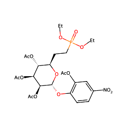 CCOP(=O)(CC[C@H]1O[C@H](Oc2ccc([N+](=O)[O-])cc2OC(C)=O)[C@@H](OC(C)=O)[C@@H](OC(C)=O)[C@@H]1OC(C)=O)OCC